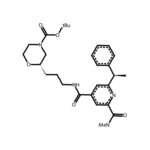 CNC(=O)c1cc(C(=O)NCCC[C@H]2CN(C(=O)OC(C)(C)C)CCO2)cc([C@H](C)c2ccccc2)n1